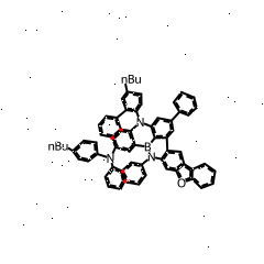 CCCCc1ccc(N(c2ccccc2)c2ccc3c(c2)B2c4c(cc(-c5ccccc5)cc4N3c3ccc(CCCC)cc3-c3ccccc3)-c3cc4c(cc3N2c2ccccc2)oc2ccccc24)cc1